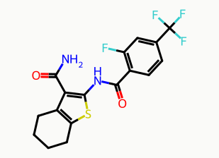 NC(=O)c1c(NC(=O)c2ccc(C(F)(F)F)cc2F)sc2c1CCCC2